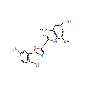 Cc1cc(CO)cc(C)c1NC(=O)c1cnc(-c2cc(Cl)ccc2Cl)o1